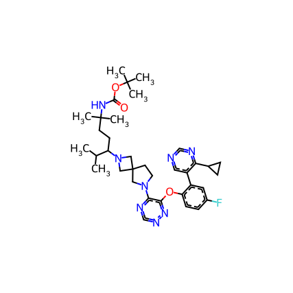 CC(C)C(CCC(C)(C)NC(=O)OC(C)(C)C)N1CC2(CCN(c3ncnnc3Oc3ccc(F)cc3-c3cncnc3C3CC3)C2)C1